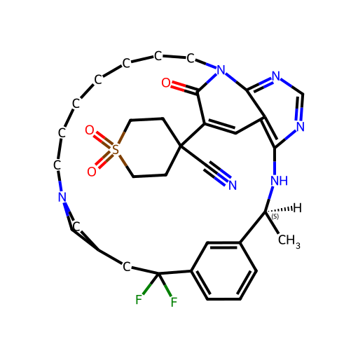 C[C@@H]1Nc2ncnc3c2cc(C2(C#N)CCS(=O)(=O)CC2)c(=O)n3CCCCCCCN2CC(C2)CC(F)(F)c2cccc1c2